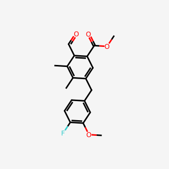 COC(=O)c1cc(Cc2ccc(F)c(OC)c2)c(C)c(C)c1C=O